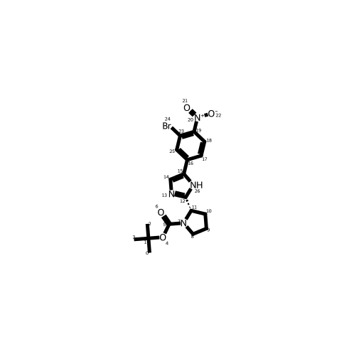 CC(C)(C)OC(=O)N1CCC[C@H]1c1ncc(-c2ccc([N+](=O)[O-])c(Br)c2)[nH]1